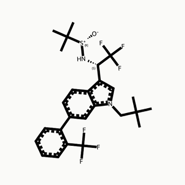 CC(C)(C)Cn1cc([C@H](N[S@@+]([O-])C(C)(C)C)C(F)(F)F)c2ccc(-c3ccccc3C(F)(F)F)cc21